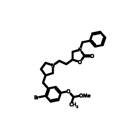 COC(C)Oc1ccc(Br)c(CC2CCN(CCC3CN(Cc4ccccc4)C(=O)O3)C2)c1